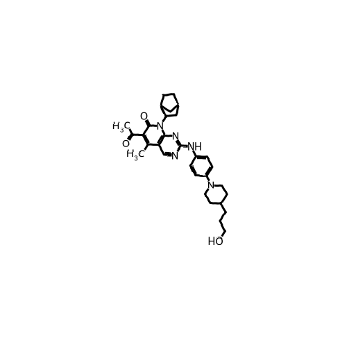 CC(=O)c1c(C)c2cnc(Nc3ccc(N4CCC(CCCO)CC4)cc3)nc2n(C2CC3CCC2C3)c1=O